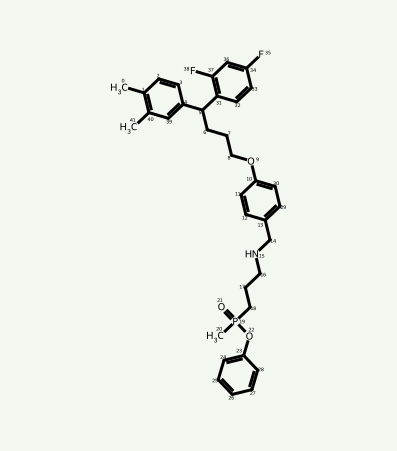 Cc1ccc(C(CCCOc2ccc(CNCCCP(C)(=O)Oc3ccccc3)cc2)c2ccc(F)cc2F)cc1C